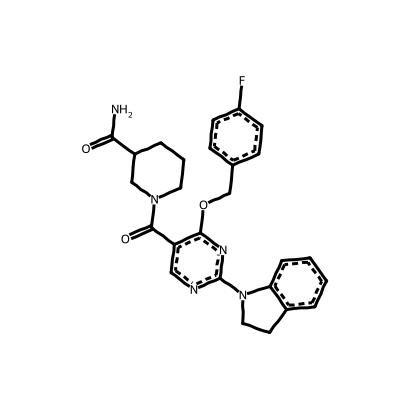 NC(=O)C1CCCN(C(=O)c2cnc(N3CCc4ccccc43)nc2OCc2ccc(F)cc2)C1